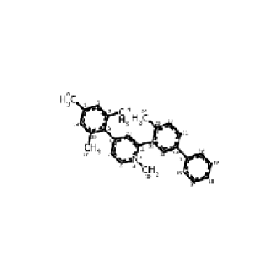 Cc1cc(C)c(-c2cc[n+](C)c(-c3cc(-c4ccccc4)ccc3C)c2)c(C)c1